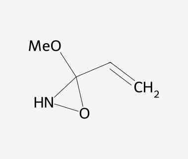 C=CC1(OC)NO1